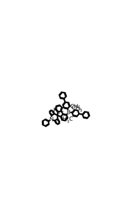 CC1=CC(c2ccccc2)CC(C)=C1B(c1cccc2c1-c1ccccc1C21c2ccccc2N(c2ccccc2)c2ccccc21)c1c(C)cc(-c2ccccc2)cc1C